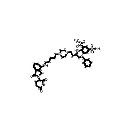 NS(=O)(=O)c1ccc(NC(CCN2CCN(CCCCCNc3cccc4c3CN(C3CCC(=O)NC3=O)C4=O)CC2)CSc2ccccc2)c(S(=O)(=O)C(F)(F)F)c1